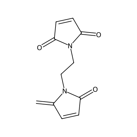 C=C1C=CC(=O)N1CCN1C(=O)C=CC1=O